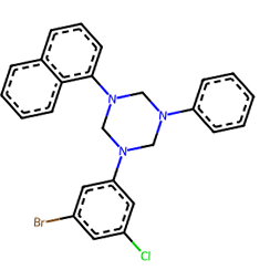 Clc1cc(Br)cc(N2CN(c3ccccc3)CN(c3cccc4ccccc34)C2)c1